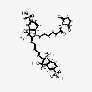 C[N+]1=C(/C=C/C=C/C=C2\N(CCCCCC(=O)ON3C(=O)CCC3=O)c3ccc(S(=O)(=O)O)cc3C2(C)C)C(C)(C)c2cc(S(=O)(=O)O)ccc21